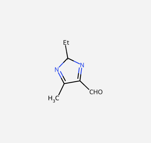 CC[C]1N=C(C)C(C=O)=N1